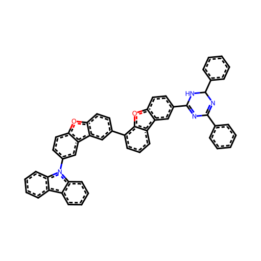 c1ccc(C2=NC(c3ccccc3)NC(c3ccc4oc5c(-c6ccc7oc8ccc(-n9c%10ccccc%10c%10ccccc%109)cc8c7c6)cccc5c4c3)=N2)cc1